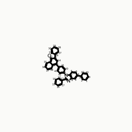 c1ccc(-c2ccc3c(c2)nc(-c2ccccc2)n3-c2ccc(-c3cc4c5ccccc5oc4c4ccccc34)cc2)cc1